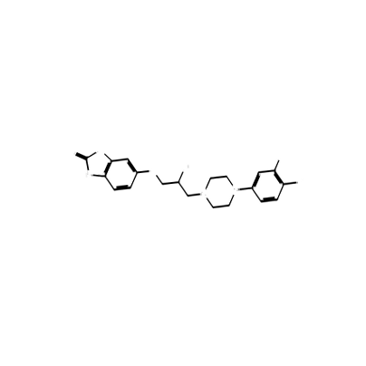 O=c1[nH]c2ccc(OCC(O)CN3CCN(c4ccc(Cl)c(Cl)c4)CC3)cc2o1